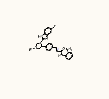 CC(C)N1CC(c2ccc(/C=C/C(=O)Nc3ccccc3N)cc2)C(c2nc3cc(F)ccc3[nH]2)C1